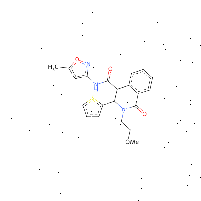 COCCN1C(=O)c2ccccc2C(C(=O)Nc2cc(C)on2)C1c1cccs1